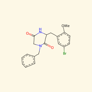 COc1ccc(Br)cc1CC1NC(=O)CN(Cc2ccccc2)C1=O